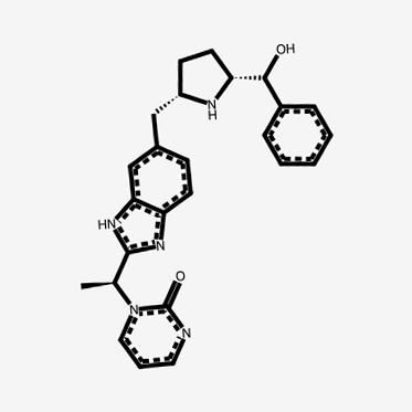 C[C@@H](c1nc2ccc(C[C@@H]3CC[C@H](C(O)c4ccccc4)N3)cc2[nH]1)n1cccnc1=O